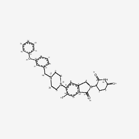 O=C1CCC(N2Cc3cc(N4CCN(Cc5cccc(Oc6ccccc6)c5)CC4)c(F)cc3C2=O)C(=O)N1